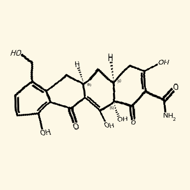 NC(=O)C1=C(O)C[C@@H]2C[C@@H]3Cc4c(CO)ccc(O)c4C(=O)C3=C(O)[C@]2(O)C1=O